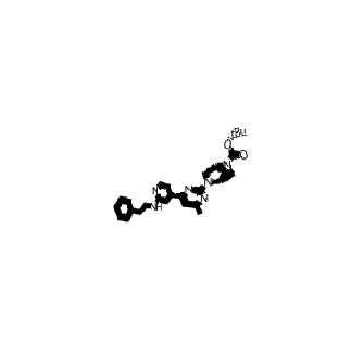 Cc1cc(-c2ccnc(NCCc3ccccc3)c2)nc(N2CC3CC2CN3C(=O)OC(C)(C)C)n1